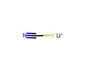 N#C[S-].[Li+]